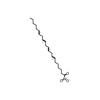 CCCCC/C=C/C/C=C/C/C=C/C/C=C/CCCCCC(=O)[N+](=O)[O-]